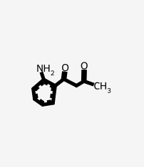 CC(=O)CC(=O)c1ccccc1N